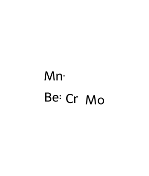 [Be].[Cr].[Mn].[Mo]